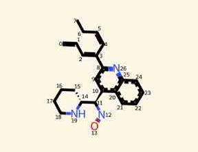 C=C/C=C(\C=C/CC)c1cc([C@@H](N=O)[C@H]2CCCCN2)c2ccccc2n1